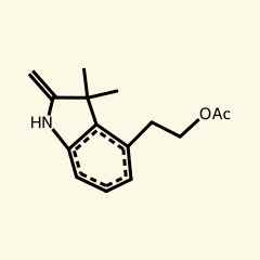 C=C1Nc2cccc(CCOC(C)=O)c2C1(C)C